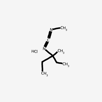 CCC(C)(CC)N=C=NC.Cl